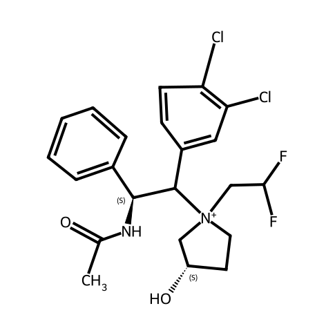 CC(=O)N[C@@H](c1ccccc1)C(c1ccc(Cl)c(Cl)c1)[N+]1(CC(F)F)CC[C@H](O)C1